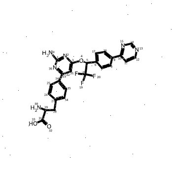 Nc1nc(O[C@@H](c2ccc(-c3ccncn3)cc2)C(F)(F)F)cc(-c2ccc(CC(N)C(=O)O)cc2)n1